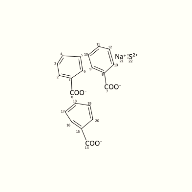 O=C([O-])c1ccccc1.O=C([O-])c1ccccc1.O=C([O-])c1ccccc1.[Na+].[S+2]